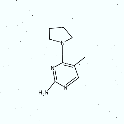 Cc1cnc(N)nc1N1CCCC1